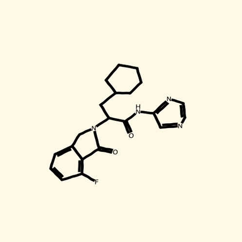 O=C(Nc1cnccn1)C(CC1CCCCC1)N1Cc2cccc(F)c2C1=O